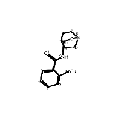 CCCCc1ccccc1C(=O)NC1CN2CCC1CC2